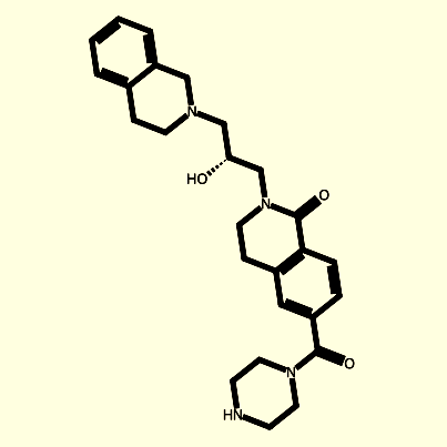 O=C(c1ccc2c(c1)CCN(C[C@H](O)CN1CCc3ccccc3C1)C2=O)N1CCNCC1